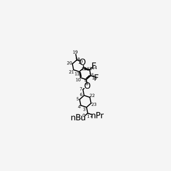 CCCCC(CCC)C1CCC(COc2cc3c(c(F)c2F)OC(C)CC3)CC1